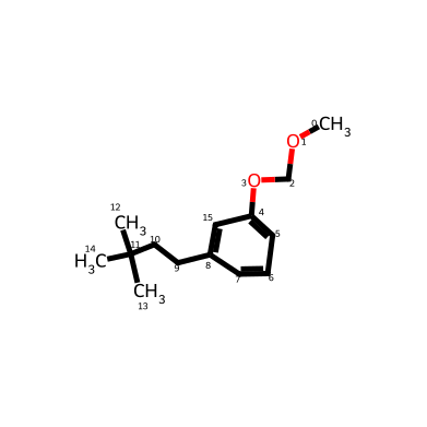 COCOc1cccc(CCC(C)(C)C)c1